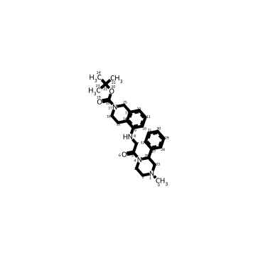 CN1CCN(C(=O)CNc2cccc3c2CCN(C(=O)OC(C)(C)C)C3)C(c2ccccc2)C1